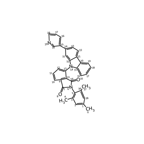 Cc1cc(C)c(N2C(=O)c3cccc(-n4c5ccccc5c5ccc(-c6cccnc6)cc54)c3C2=O)c(C)c1